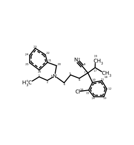 CCCN(CCCC(C#N)(c1ccccc1Cl)C(C)C)Cc1ccccc1